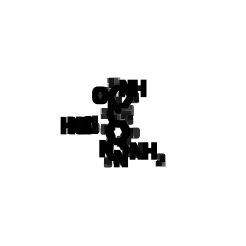 Cl.Cl.Nc1ncnc2cc(CN3CCNCC3=O)ccc12